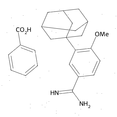 COc1ccc(C(=N)N)cc1C12CC3CC(CC(C3)C1)C2.O=C(O)c1ccccc1